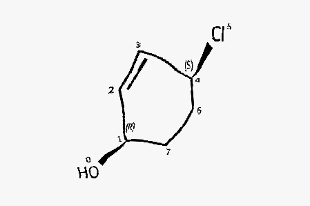 O[C@H]1C=C[C@@H](Cl)CC1